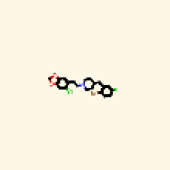 Clc1ccc(Br)c(CC2CCN(CCc3cc4c(cc3Cl)OCO4)CC2)c1